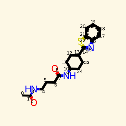 CC(=O)NCCCC(=O)NC1CCC(c2nc3ccccc3s2)CC1